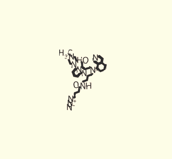 CN1CCN(c2cccc3nc(CN(CCCCNC(=O)CCCN=[N+]=[N-])[C@H]4CCCc5ccncc54)c(CO)n23)CC1